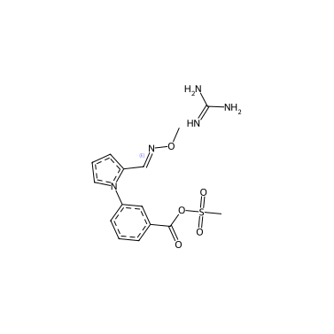 CO/N=C/c1cccn1-c1cccc(C(=O)OS(C)(=O)=O)c1.N=C(N)N